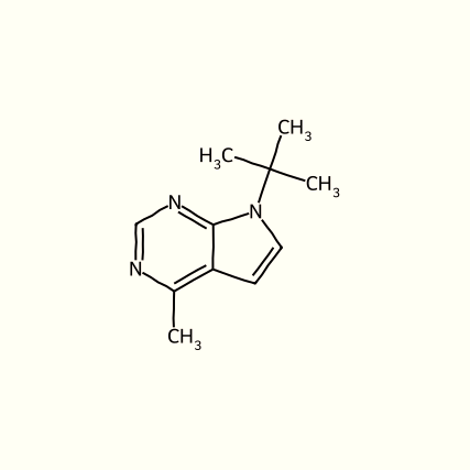 Cc1ncnc2c1ccn2C(C)(C)C